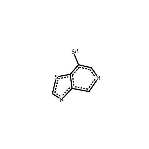 Sc1cncc2ncsc12